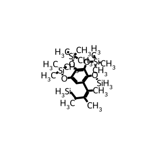 CC(=C(C)C(C)[SiH3])c1cc(O[Si](C)(C)C)c(O[Si](C)(C)C)c(O[Si](C)(C)C)c1O[SiH3]